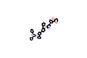 c1ccc(-c2cc(-n3c4ccccc4c4cc(-c5ccc6c(c5)c5ccccc5n6-c5cncc(-c6ccc7oc8cccnc8c7c6)c5)ccc43)cc(-c3ccccc3)n2)cc1